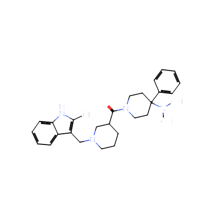 Cc1[nH]c2ccccc2c1CN1CCCC(C(=O)N2CCC(c3ccccc3)(N(C)C)CC2)C1